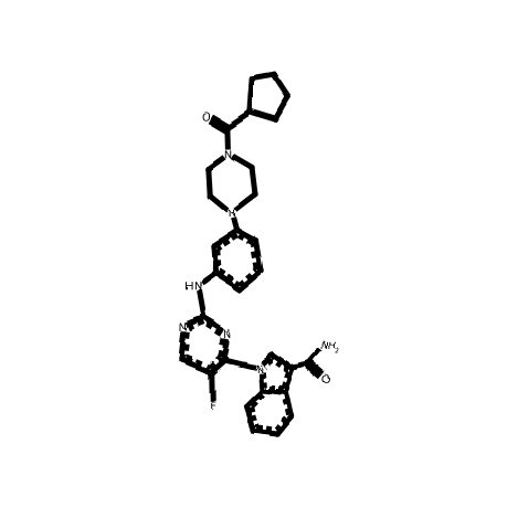 NC(=O)c1cn(-c2nc(Nc3cccc(N4CCN(C(=O)C5CCCC5)CC4)c3)ncc2F)c2ccccc12